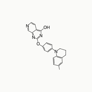 Cc1ccc2c(c1)CCCN2c1ccc(Oc2nc(O)c3ccncc3n2)cc1